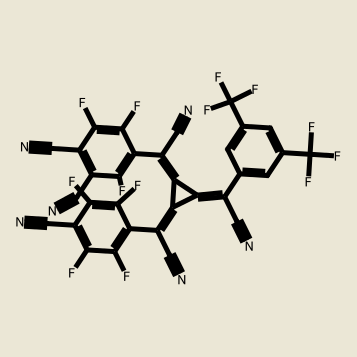 N#CC(=C1C(=C(\C#N)c2cc(C(F)(F)F)cc(C(F)(F)F)c2)/C1=C(\C#N)c1c(F)c(F)c(C#N)c(C#N)c1F)c1c(F)c(F)c(C#N)c(F)c1F